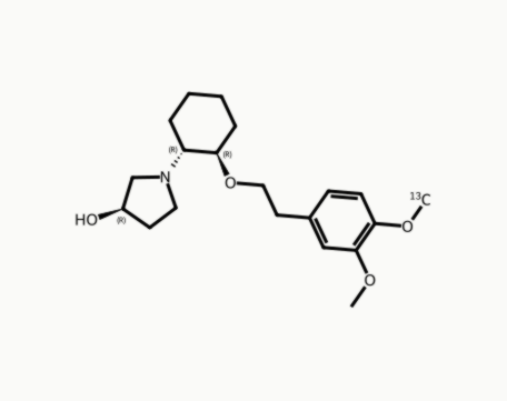 COc1cc(CCO[C@@H]2CCCC[C@H]2N2CC[C@@H](O)C2)ccc1O[13CH3]